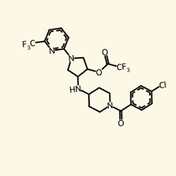 O=C(c1ccc(Cl)cc1)N1CCC(NC2CN(c3cccc(C(F)(F)F)n3)CC2OC(=O)C(F)(F)F)CC1